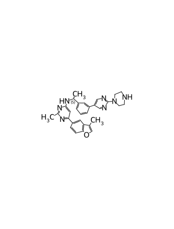 Cc1nc(N[C@@H](C)c2cccc(-c3cnc(N4CCNCC4)nc3)c2)cc(-c2ccc3occ(C)c3c2)n1